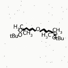 CC(C)(C)OOC(C)(C)CC=CCOCC=CCC(C)(C)OOC(C)(C)C